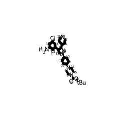 CC(C)(C)OC(=O)N1CCN(c2ccc(-n3cc(-c4cc(Cl)cc(N)c4F)c(-c4ccncc4)n3)cc2)CC1